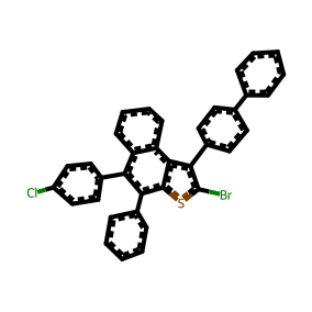 Clc1ccc(-c2c(-c3ccccc3)c3sc(Br)c(-c4ccc(-c5ccccc5)cc4)c3c3ccccc23)cc1